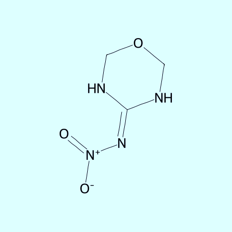 O=[N+]([O-])N=C1NCOCN1